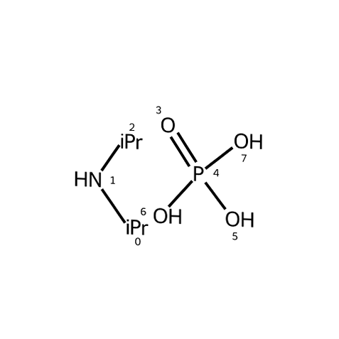 CC(C)NC(C)C.O=P(O)(O)O